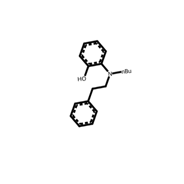 CCCCN(CCc1ccccc1)c1ccccc1O